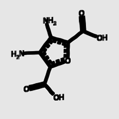 Nc1c(C(=O)O)oc(C(=O)O)c1N